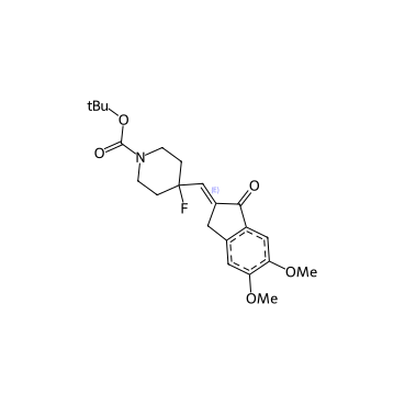 COc1cc2c(cc1OC)C(=O)/C(=C/C1(F)CCN(C(=O)OC(C)(C)C)CC1)C2